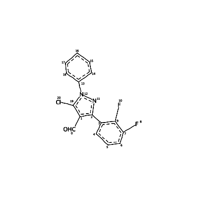 O=Cc1c(-c2cccc(F)c2F)nn(-c2ccccc2)c1Cl